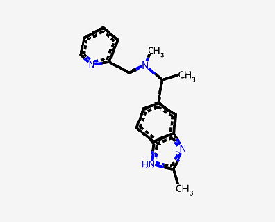 Cc1nc2cc(C(C)N(C)Cc3ccccn3)ccc2[nH]1